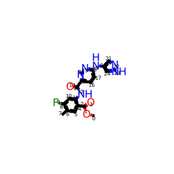 COC(=O)c1cc(C)c(F)cc1NC(=O)c1ccc(Nc2cn[nH]c2)nn1